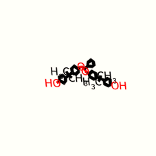 CC(C)(c1ccc(O)cc1)c1ccc(OC(Oc2ccc(C(C)(C)c3ccc(O)cc3)cc2)c2ccccc2)cc1